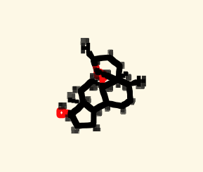 C[C@]12CC[C@@H]3C[C@@H]1CCC1C4CCC(=O)[C@@]4(C)CC[C@@]12OO3